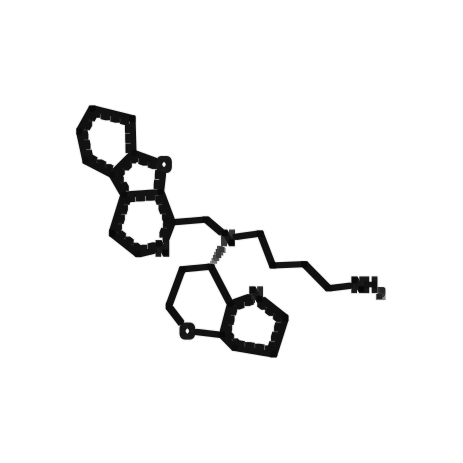 NCCCCN(Cc1nccc2c1oc1ccccc12)[C@H]1CCOc2cccnc21